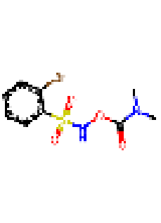 CN(C)C(=O)ONS(=O)(=O)c1ccccc1Br